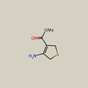 COC(=O)C1=C(N)CSC1